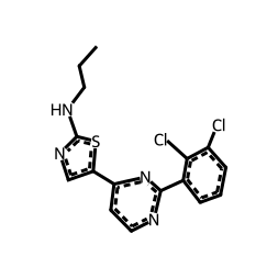 CCCNc1ncc(-c2ccnc(-c3cccc(Cl)c3Cl)n2)s1